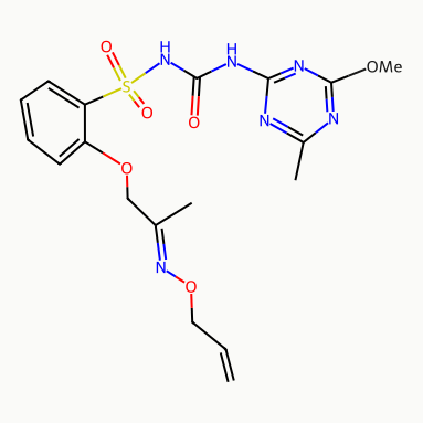 C=CCO/N=C(\C)COc1ccccc1S(=O)(=O)NC(=O)Nc1nc(C)nc(OC)n1